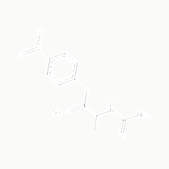 CC(NC(N)=O)C(=O)Oc1ccc([N+](=O)[O-])cc1.[Na]